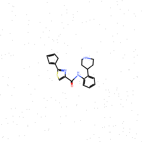 O=C(Nc1ccccc1C1CCNCC1)c1csc(C2=CC=CC2)n1